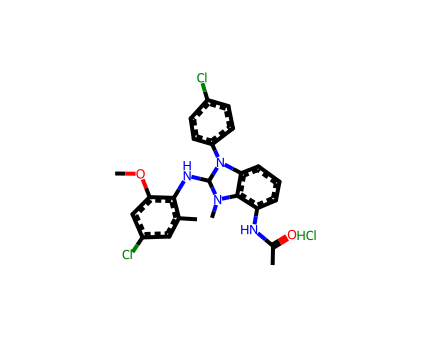 COc1cc(Cl)cc(C)c1NC1N(C)c2c(NC(C)=O)cccc2N1c1ccc(Cl)cc1.Cl